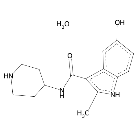 Cc1[nH]c2ccc(O)cc2c1C(=O)NC1CCNCC1.O